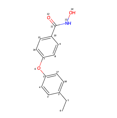 CCc1ccc(Oc2ccc(C(=O)NO)cc2)cc1